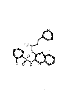 O=S(=O)(Nc1nc2ccccc2nc1OC(CCc1cccnc1)C(F)(F)F)c1ccccc1Cl